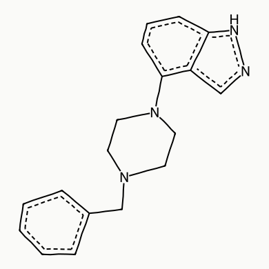 c1ccc(CN2CCN(c3cccc4[nH]ncc34)CC2)cc1